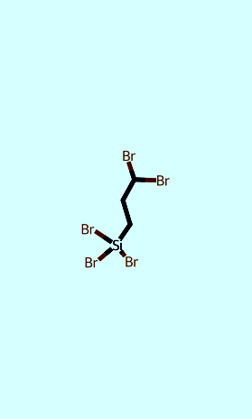 BrC(Br)CC[Si](Br)(Br)Br